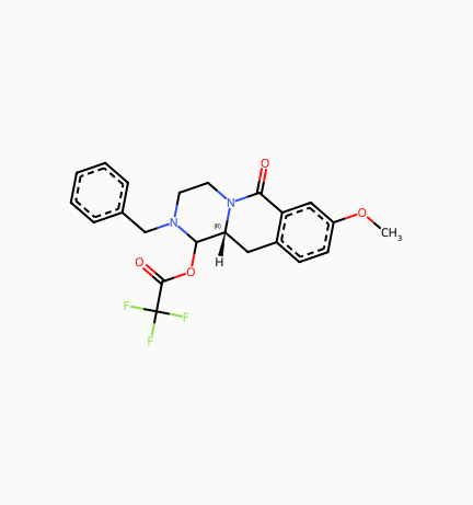 COc1ccc2c(c1)C(=O)N1CCN(Cc3ccccc3)C(OC(=O)C(F)(F)F)[C@H]1C2